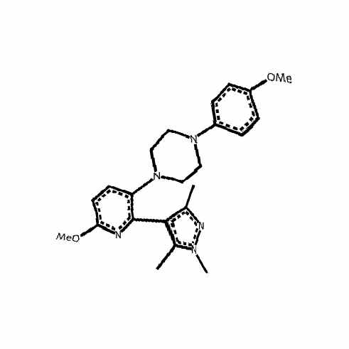 COc1ccc(N2CCN(c3ccc(OC)nc3-c3c(C)nn(C)c3C)CC2)cc1